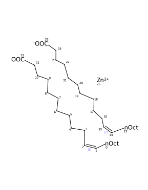 CCCCCCCC/C=C\CCCCCCCCCC(=O)[O-].CCCCCCCC/C=C\CCCCCCCCCC(=O)[O-].[Zn+2]